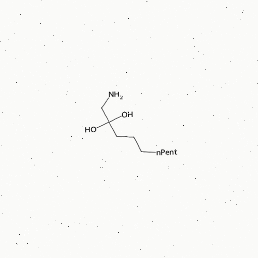 CCCCCCCCC(O)(O)CN